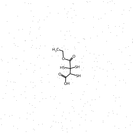 CCOC(=O)C(S)(S)C(S)C(=O)O